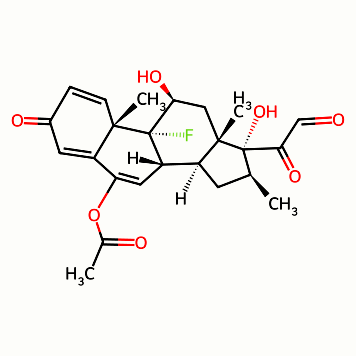 CC(=O)OC1=C[C@H]2[C@@H]3C[C@H](C)[C@](O)(C(=O)C=O)[C@@]3(C)C[C@H](O)[C@]2(F)[C@@]2(C)C=CC(=O)C=C12